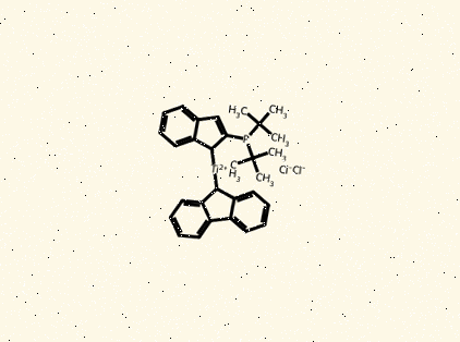 CC(C)(C)P(C1=Cc2ccccc2[CH]1[Ti+2][CH]1c2ccccc2-c2ccccc21)C(C)(C)C.[Cl-].[Cl-]